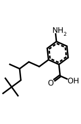 CC(CCc1cc(N)ccc1C(=O)O)CC(C)(C)C